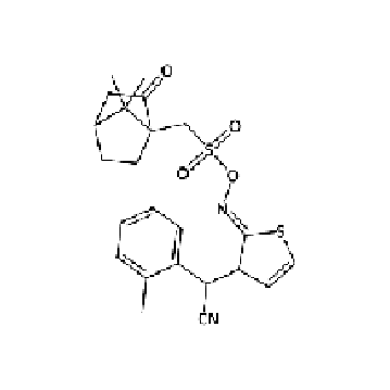 Cc1ccccc1C(C#N)C1C=CS/C1=N\OS(=O)(=O)CC12CCC(CC1=O)C2(C)C